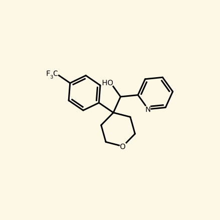 OC(c1ccccn1)C1(c2ccc(C(F)(F)F)cc2)CCOCC1